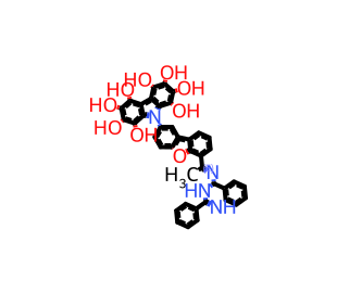 C/C(=N\C(NC(=N)c1ccccc1)c1ccccc1)c1cccc2c1oc1ccc(-n3c4c(O)c(O)c(O)c(O)c4c4c(O)c(O)c(O)c(O)c43)cc12